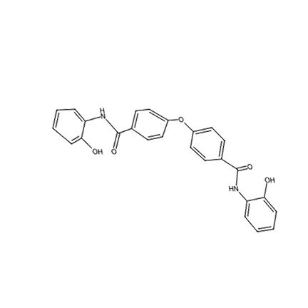 O=C(Nc1ccccc1O)c1ccc(Oc2ccc(C(=O)Nc3ccccc3O)cc2)cc1